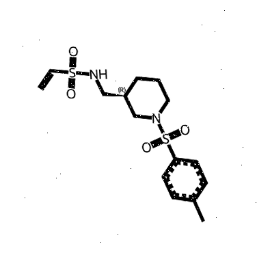 C=CS(=O)(=O)NC[C@H]1CCCN(S(=O)(=O)c2ccc(C)cc2)C1